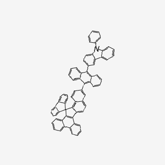 c1ccc(-n2c3ccccc3c3cc(-c4c5ccccc5c(-c5ccc6c7c(ccc6c5)-c5c(c6ccccc6c6ccccc56)C75c6ccccc6-c6ccccc65)c5ccccc45)ccc32)cc1